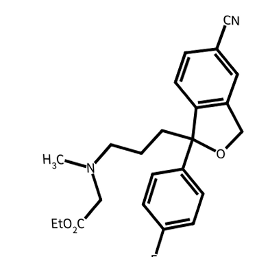 CCOC(=O)CN(C)CCCC1(c2ccc(F)cc2)OCc2cc(C#N)ccc21